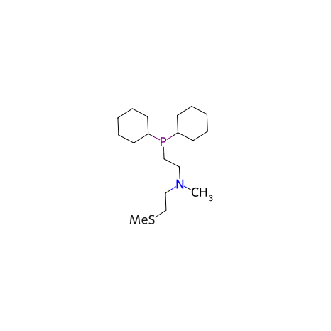 CSCCN(C)CCP(C1CCCCC1)C1CCCCC1